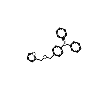 c1ccc([SH](c2ccccc2)c2ccc(COCc3ccco3)cc2)cc1